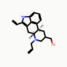 C=CCN1CC(CO)C[C@@H]2c3cccc4[nH]c(C=C)c(c34)C[C@H]21